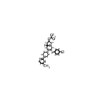 Cc1ccnc(N2CCC(N3C[C@@H]4C[C@H](OC(=O)C(F)(F)F)CN4C[C@@H]3Cc3ccc(Cl)cc3)CC2)n1